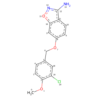 COc1ccc(COc2ccc3c(N)noc3c2)cc1Cl